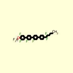 C=CCC/C(F)=C(\F)c1ccc(-c2ccc(-c3ccc(-c4cc(F)c(OC(F)(F)F)c(F)c4)c(F)c3)c(F)c2)cc1